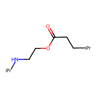 CC(C)CCC(=O)OCCNC(C)C